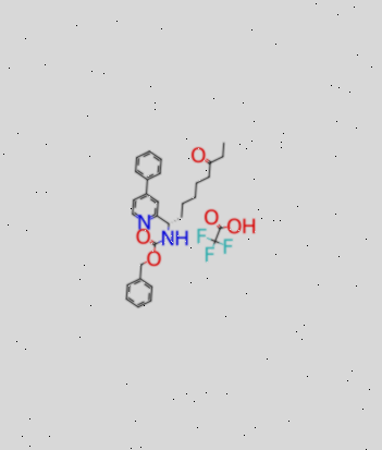 CCC(=O)CCCCC[C@H](NC(=O)OCc1ccccc1)c1cc(-c2ccccc2)ccn1.O=C(O)C(F)(F)F